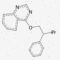 CC(C)C(COc1ncnc2ccccc12)c1ccccc1